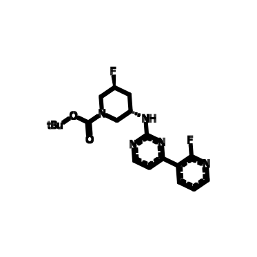 CC(C)(C)OC(=O)N1C[C@@H](F)C[C@H](Nc2nccc(-c3cccnc3F)n2)C1